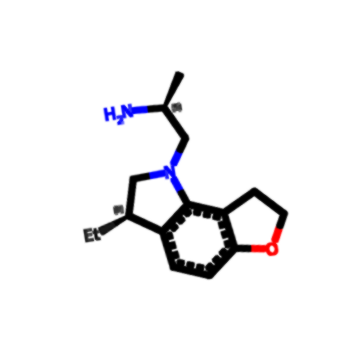 CC[C@H]1CN(C[C@H](C)N)c2c1ccc1c2CCO1